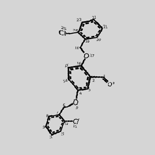 O=Cc1cc(OCc2ccccc2Cl)ccc1OCc1ccccc1Cl